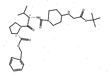 CC(C)[C@H](NC(=O)N1CCC(NCC(=O)OC(C)(C)C)CC1)C(=O)N1CCC[C@H]1C(=O)OCc1ccccc1